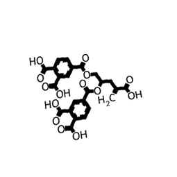 C=C(CC(COC(=O)c1ccc(C(=O)O)c(C(=O)O)c1)OC(=O)c1ccc(C(=O)O)c(C(=O)O)c1)C(=O)O